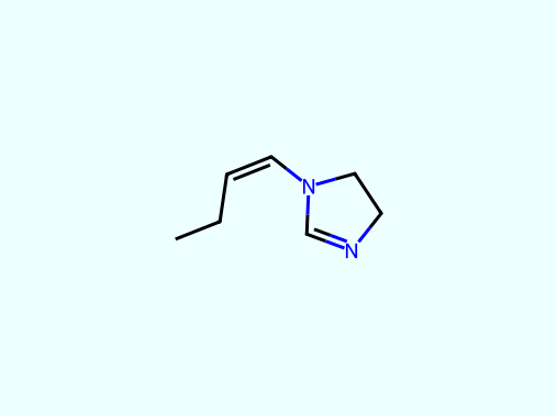 CC/C=C\N1C=NCC1